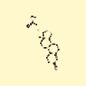 CC12CCC3C4CCC(=O)C=C4CCC3C1CC[C@H]2CCC(=O)O